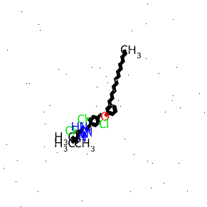 CCCCCCCCCCCCCCCc1cccc(OCc2cc(Cl)c(-c3nn4nc(C(C)(C)C)c(Cl)c4[nH]3)cc2Cl)c1